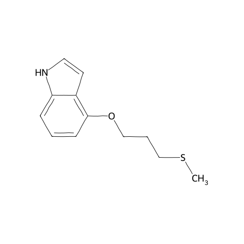 CSCCCOc1cccc2[nH]ccc12